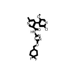 COc1cnc(Cl)cc1-c1cc(C)ncc1C(=O)Nc1nnc(OCC2CCC(F)(F)CC2)s1